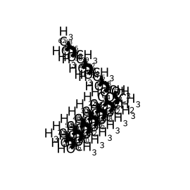 C=C(C)C(=O)O.CCC(O)CC(C)O.CCC(O)CC(C)O.CCC(O)CC(C)O.CCC(O)CC(C)O.CCC(O)CC(C)O.CCC(O)CC(C)O.CCC(O)CC(C)O.CCC(O)CC(C)O.CCC(O)CC(C)O